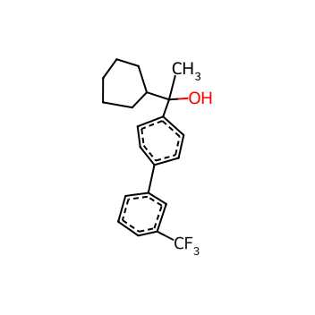 CC(O)(c1ccc(-c2cccc(C(F)(F)F)c2)cc1)C1CCCCC1